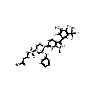 Cn1nc(-c2cc(C(F)(F)F)c(F)c(O)c2F)c2cnc(N3CCN(S(=O)(=O)CCCC(=O)O)C[C@H]3Cc3ccccc3)nc21